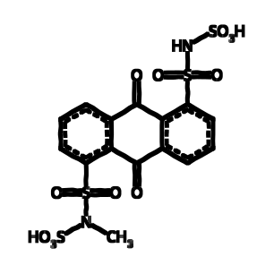 CN(S(=O)(=O)O)S(=O)(=O)c1cccc2c1C(=O)c1cccc(S(=O)(=O)NS(=O)(=O)O)c1C2=O